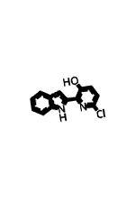 Oc1ccc(Cl)nc1-c1cc2ccccc2[nH]1